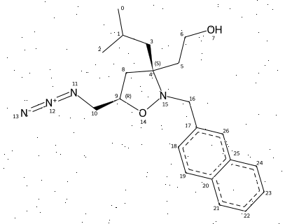 CC(C)C[C@]1(CCO)C[C@H](CN=[N+]=[N-])ON1Cc1ccc2ccccc2c1